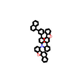 c1cc(-c2ccc(N(c3ccccc3-c3ccc4c(c3)oc3ccccc34)c3cccc4oc5c6ccccc6ccc5c34)cc2)cc(-c2cccc3ccccc23)c1